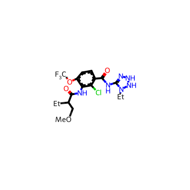 CCC(COC)C(=O)Nc1c(OC(F)(F)F)ccc(C(=O)NC2=NNNN2CC)c1Cl